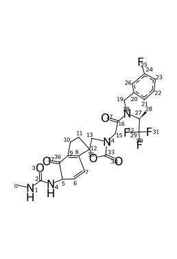 CNC(=O)NC1C=CC2=C(CCC23CN(CC(=O)N(Cc2cccc(F)c2)[C@@H](C)C(F)(F)F)C(=O)O3)C1=O